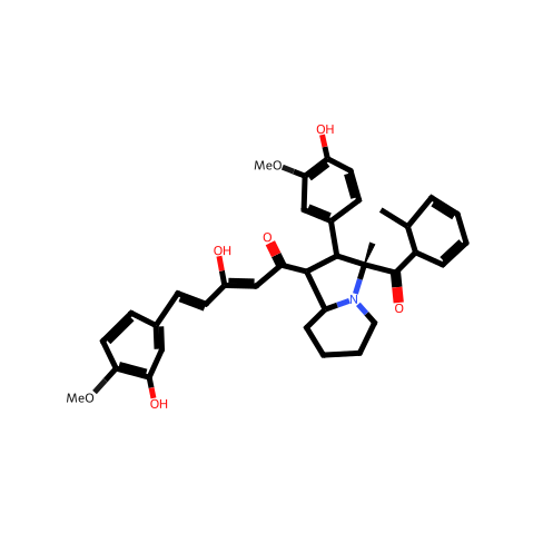 COc1ccc(/C=C/C(O)=C/C(=O)C2C3CCCCN3[C@@](C)(C(=O)C3C=CC=CC3C)C2c2ccc(O)c(OC)c2)cc1O